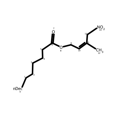 CCCCCCCCCCCCCCCC(=O)OCC=C(C)C[N+](=O)[O-]